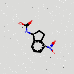 O=C(O)NC1CCc2c1cccc2[N+](=O)[O-]